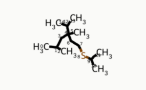 CC(C)CC(C)(CCSC(C)C)C(C)C